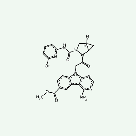 COC(=O)c1ccc2c(c1)c1c(N)ncnc1n2CC(=O)N1C2C[C@@H]2C[C@H]1C(=O)Nc1cccc(Br)n1